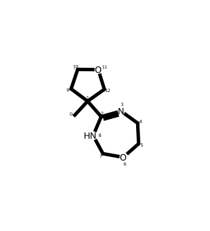 CC1(C2=NCCOCN2)CCOC1